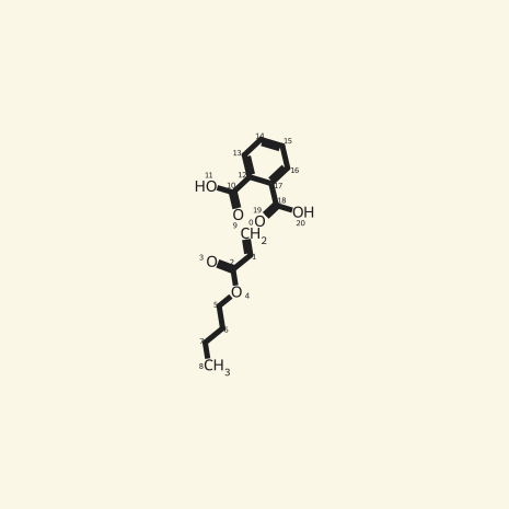 C=CC(=O)OCCCC.O=C(O)c1ccccc1C(=O)O